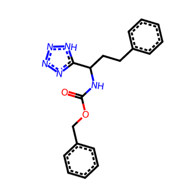 O=C(NC(CCc1ccccc1)c1nnn[nH]1)OCc1ccccc1